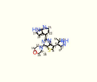 Cc1n[nH]c(C)c1-c1csc2c(N3CCOC[C@H]3C)nc(-c3ccnc4[nH]ccc34)nc12